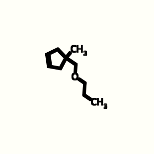 CCCOCC1(C)CC=CC1